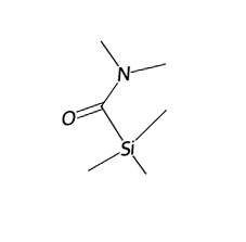 CN(C)C(=O)[Si](C)(C)C